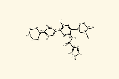 C[C@H]1CN(c2cc(F)c(-c3cnc(N4CCOCC4)nc3)cc2NC(=O)c2cc[nH]n2)CCN1C